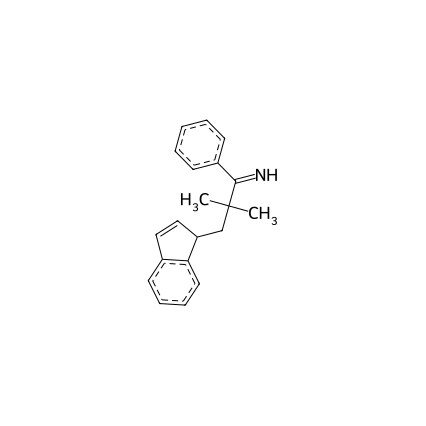 CC(C)(CC1C=Cc2ccccc21)C(=N)c1ccccc1